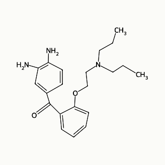 CCCN(CCC)CCOc1ccccc1C(=O)c1ccc(N)c(N)c1